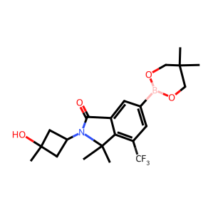 CC1(C)COB(c2cc3c(c(C(F)(F)F)c2)C(C)(C)N(C2CC(C)(O)C2)C3=O)OC1